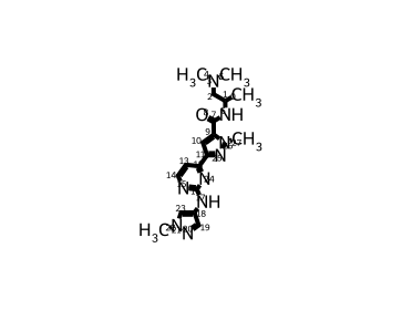 CC(CN(C)C)NC(=O)c1cc(-c2ccnc(Nc3cnn(C)c3)n2)nn1C